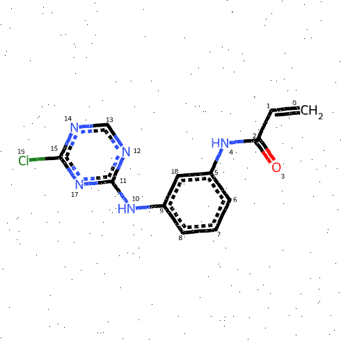 C=CC(=O)Nc1cccc(Nc2ncnc(Cl)n2)c1